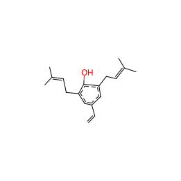 C=Cc1cc(CC=C(C)C)c(O)c(CC=C(C)C)c1